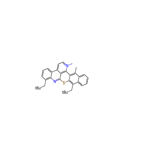 Cc1c2c(c(CC(C)(C)C)c3ccccc13)Sc1nc3c(CC(C)(C)C)cccc3c3cc[n+](C)c-2c13